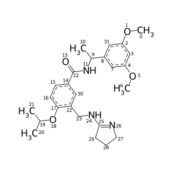 COc1cc(OC)cc(C(C)NC(=O)c2ccc(OC(C)C)c(CNC3=NCCC3)c2)c1